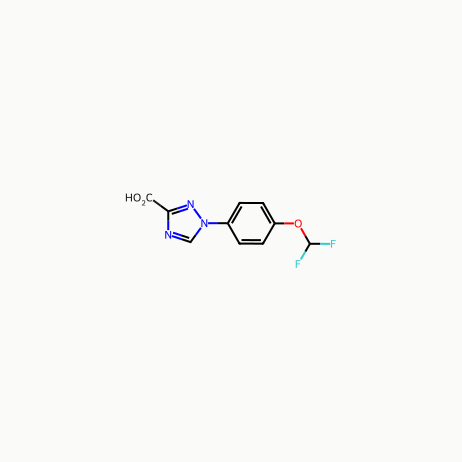 O=C(O)c1ncn(-c2ccc(OC(F)F)cc2)n1